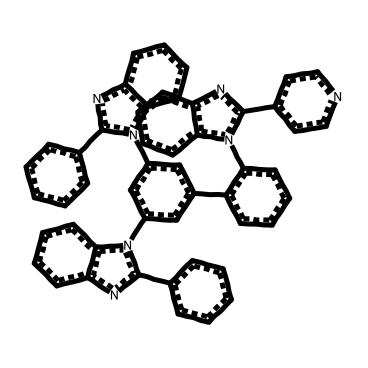 c1ccc(-c2nc3ccccc3n2-c2cc(-c3ccccc3-n3c(-c4ccncc4)nc4ccccc43)cc(-n3c(-c4ccccc4)nc4ccccc43)c2)cc1